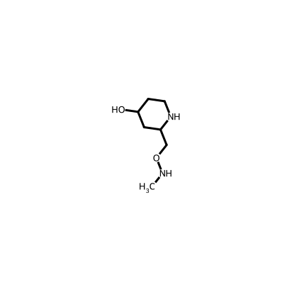 CNOCC1CC(O)CCN1